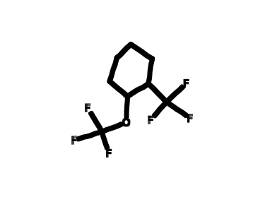 FC(F)(F)O[C]1CCCCC1C(F)(F)F